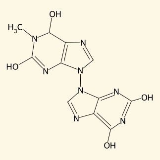 CN1C(O)=Nc2c(ncn2-n2cnc3c(O)nc(O)nc32)C1O